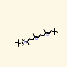 C/C(=C\CC(C)(C)C)CC/C=C(\C)CC/C(C)=N/OC(C)(C)C